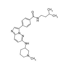 CC(C)CCNC(=O)c1ccc(-c2cnc3ccc(NC4CCCN(C)C4)nn23)cc1